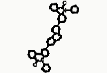 O=c1c2ccccc2c2cc(-c3ccc4c(ccc5cc(-c6ccc7c(c6)c6ccccc6c(=O)n7-c6ccccc6)ccc54)c3)ccc2n1-c1ccccc1